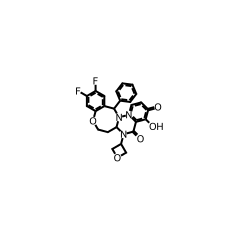 O=C1c2c(O)c(=O)ccn2N2C(c3ccccc3)c3cc(F)c(F)cc3OCCC2N1C1COC1